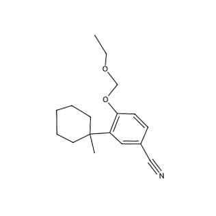 CCOCOc1ccc(C#N)cc1C1(C)CCCCC1